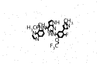 Cn1cc(-c2cc(Nc3nc(Nc4ccc5nccnc5c4P(C)C)c4cc[nH]c4n3)c(OCC(F)(F)F)cc2F)cn1